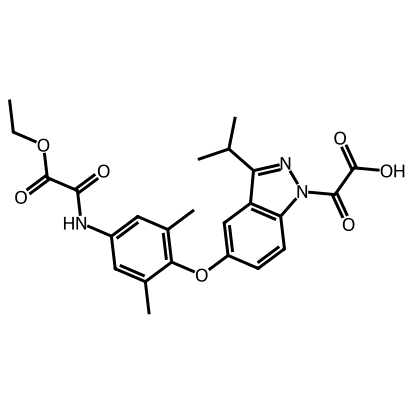 CCOC(=O)C(=O)Nc1cc(C)c(Oc2ccc3c(c2)c(C(C)C)nn3C(=O)C(=O)O)c(C)c1